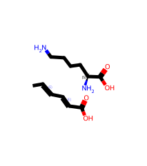 C/C=C/C=C/C(=O)O.NCCCC[C@H](N)C(=O)O